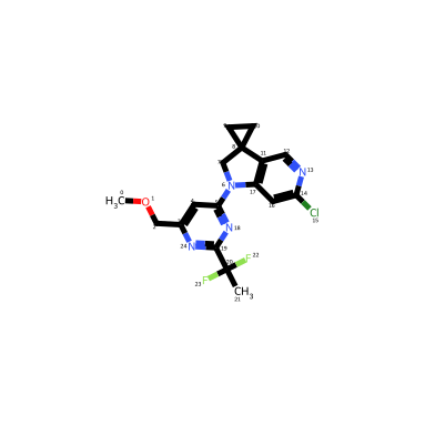 COCc1cc(N2CC3(CC3)c3cnc(Cl)cc32)nc(C(C)(F)F)n1